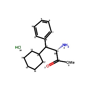 COC(=O)[C@@H](N)C(c1ccccc1)C1CCCCC1.Cl